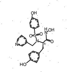 O=C(NO)[C@@H](Cc1ccc(O)cc1)N(Cc1cccnc1)S(=O)(=O)c1ccc(O)cc1